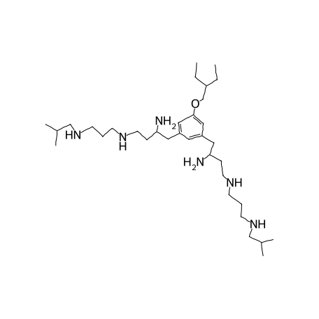 CCC(CC)COc1cc(CC(N)CCNCCCNCC(C)C)cc(CC(N)CCNCCCNCC(C)C)c1